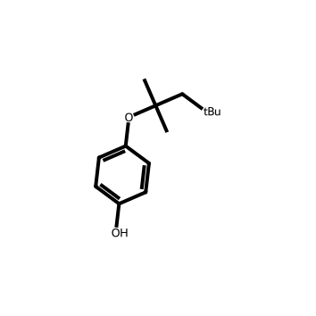 CC(C)(C)CC(C)(C)Oc1ccc(O)cc1